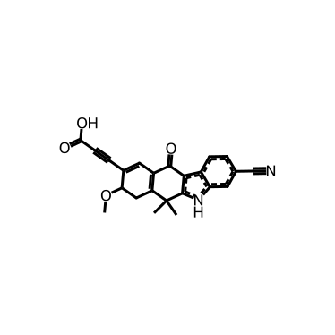 COC1CC2=C(C=C1C#CC(=O)O)C(=O)c1c([nH]c3cc(C#N)ccc13)C2(C)C